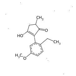 CCc1ccc(OC)cc1C1=C(O)CC(C)C1=O